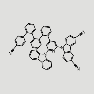 N#Cc1ccc(-c2ccccc2-c2ccccc2-c2ccccc2-c2cc(-n3c4ccccc4c4ccccc43)nc(-n3c4ccc(C#N)cc4c4cc(C#N)ccc43)c2)cc1